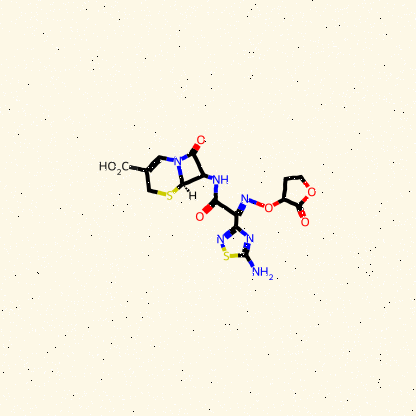 Nc1nc(C(=NOC2CCOC2=O)C(=O)NC2C(=O)N3C=C(C(=O)O)CS[C@H]23)ns1